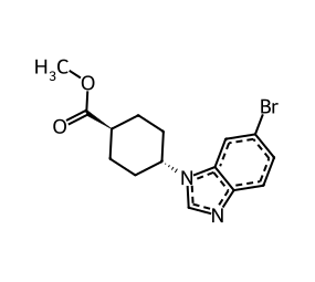 COC(=O)[C@H]1CC[C@H](n2cnc3ccc(Br)cc32)CC1